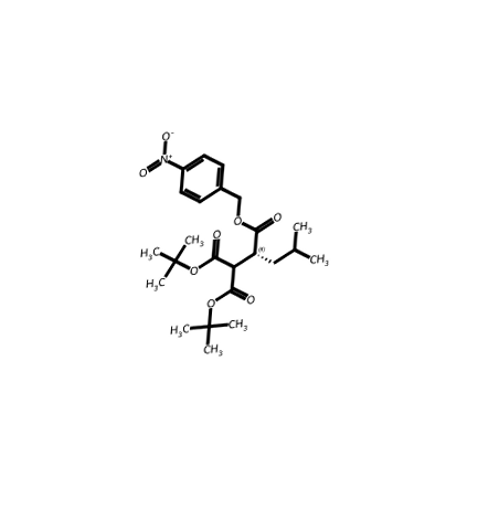 CC(C)C[C@@H](C(=O)OCc1ccc([N+](=O)[O-])cc1)C(C(=O)OC(C)(C)C)C(=O)OC(C)(C)C